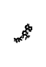 CC(C)CC(C)(N)COc1ccc(-c2ccnc3ccnn23)nc1C(F)F